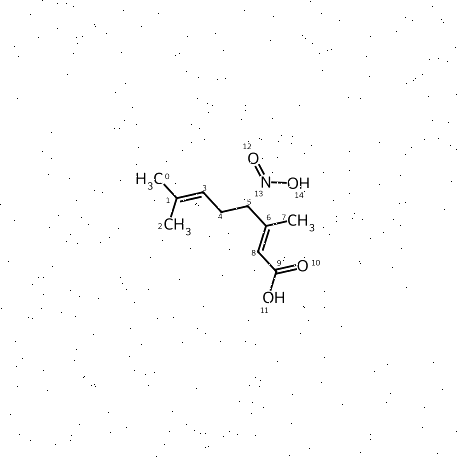 CC(C)=CCCC(C)=CC(=O)O.O=NO